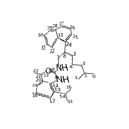 CC(C)CCCC(CNC(=O)Nc1c(C(C)C)cccc1C(C)C)c1cccc2ccccc12